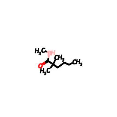 CBC(=O)C(C)(C)CCCC